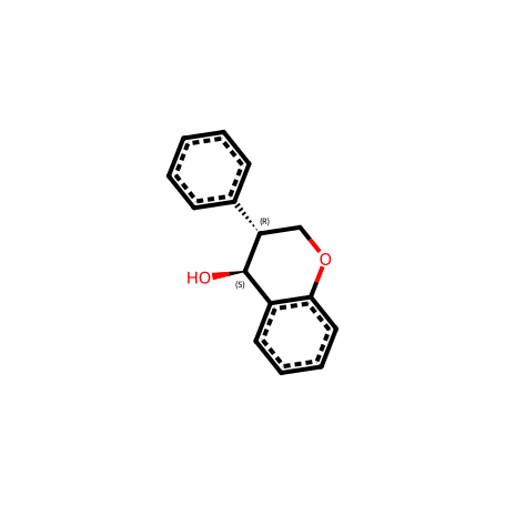 O[C@@H]1c2ccccc2OC[C@H]1c1ccccc1